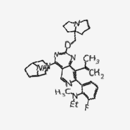 C=C(C)c1c(-c2cccc(F)c2N(C)CC)ncc2c(N3CC4CCC(C3)N4)nc(OCC34CCCN3CCC4)nc12